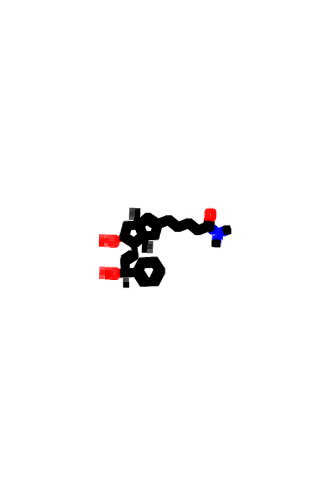 CN(C)C(=O)CCCCC1=C[C@H]2C[C@@H](O)[C@H](/C=C/[C@](C)(O)c3ccccc3)[C@H]2C1